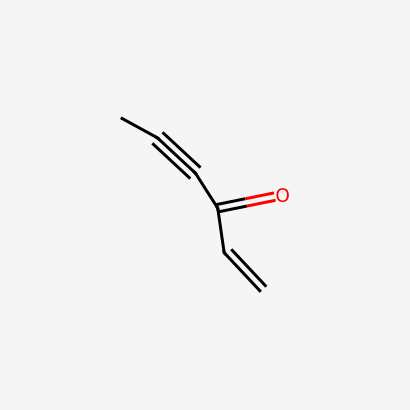 C=CC(=O)C#CC